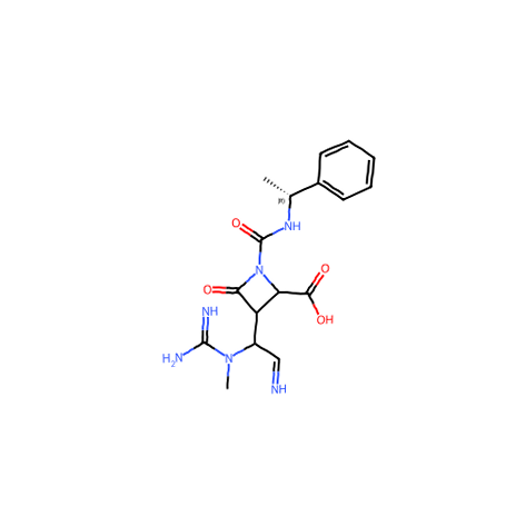 C[C@@H](NC(=O)N1C(=O)C(C(C=N)N(C)C(=N)N)C1C(=O)O)c1ccccc1